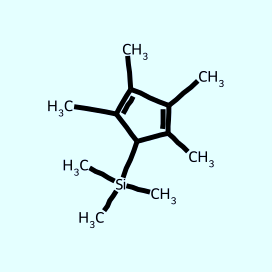 CC1=C(C)C(C)=C(C)[C]1[Si](C)(C)C